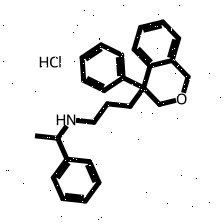 CC(NCCCC1(c2ccccc2)COCc2ccccc21)c1ccccc1.Cl